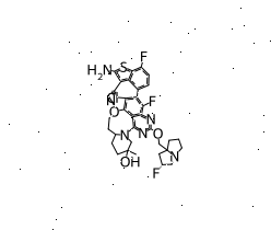 CC1(O)CCC2CCOc3c(Cl)c(-c4ccc(F)c5sc(N)c(C#N)c45)c(F)c4nc(OCC56CCCN5C[C@H](F)C6)nc(c34)N2C1